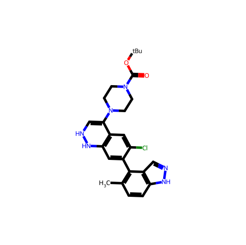 Cc1ccc2[nH]ncc2c1-c1cc2c(cc1Cl)C(N1CCN(C(=O)OC(C)(C)C)CC1)=CNN2